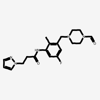 Cc1c(CN2CCN(C=O)CC2)cc(F)cc1NC(=O)CCn1cccn1